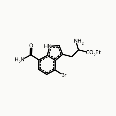 CCOC(=O)C(N)Cc1c[nH]c2c(C(N)=O)ccc(Br)c12